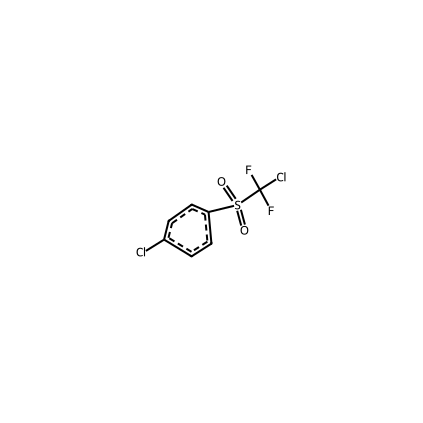 O=S(=O)(c1ccc(Cl)cc1)C(F)(F)Cl